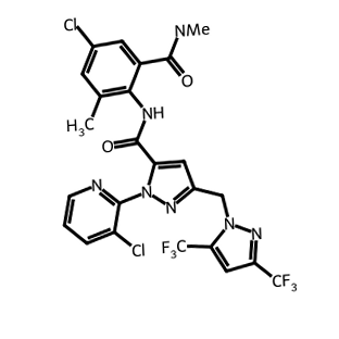 CNC(=O)c1cc(Cl)cc(C)c1NC(=O)c1cc(Cn2nc(C(F)(F)F)cc2C(F)(F)F)nn1-c1ncccc1Cl